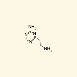 NCCc1ncnc(N)n1